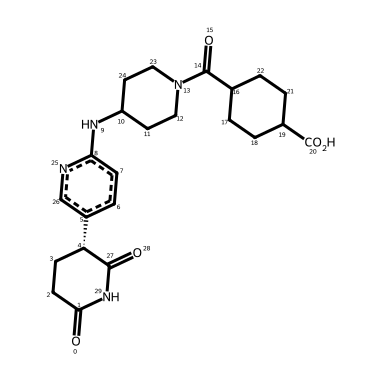 O=C1CC[C@H](c2ccc(NC3CCN(C(=O)C4CCC(C(=O)O)CC4)CC3)nc2)C(=O)N1